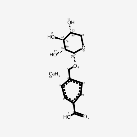 O=C(O)c1ccc(CO[C@H]2OC[C@@H](O)[C@H](O)[C@H]2O)cc1.[CaH2]